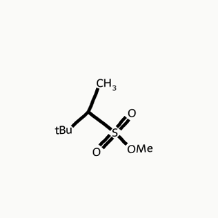 COS(=O)(=O)C(C)C(C)(C)C